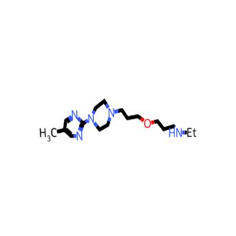 CCNCCCOCCCN1CCN(c2ncc(C)cn2)CC1